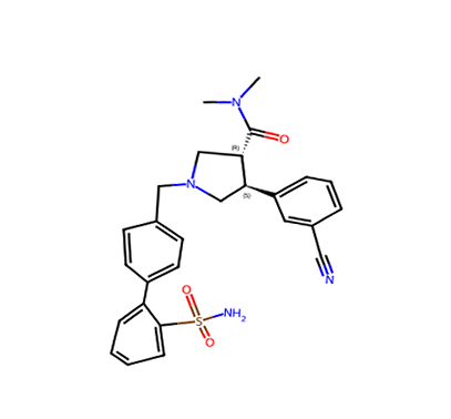 CN(C)C(=O)[C@H]1CN(Cc2ccc(-c3ccccc3S(N)(=O)=O)cc2)C[C@@H]1c1cccc(C#N)c1